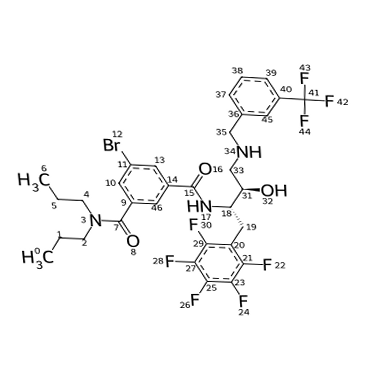 CCCN(CCC)C(=O)c1cc(Br)cc(C(=O)N[C@@H](Cc2c(F)c(F)c(F)c(F)c2F)[C@H](O)CNCc2cccc(C(F)(F)F)c2)c1